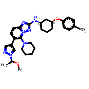 CCOC(C)n1cc(-c2ccc3nc(N[C@@H]4CCC[C@H](Oc5ccc([N+](=O)[O-])cc5)C4)nn3c2N2CCCCC2)cn1